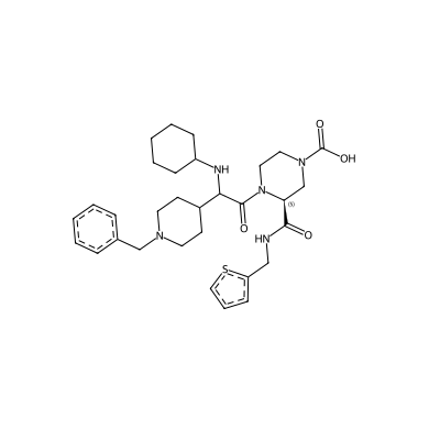 O=C(NCc1cccs1)[C@@H]1CN(C(=O)O)CCN1C(=O)C(NC1CCCCC1)C1CCN(Cc2ccccc2)CC1